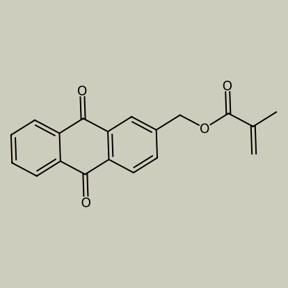 C=C(C)C(=O)OCc1ccc2c(c1)C(=O)c1ccccc1C2=O